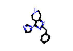 c1ccc(Cc2nc3c(c(-n4ccnc4)n2)CCNCC3)cc1